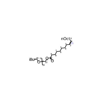 CCCCCCCC/C=C\CCCCCCCC(=O)OCC(C)(C)OCC(C)CC